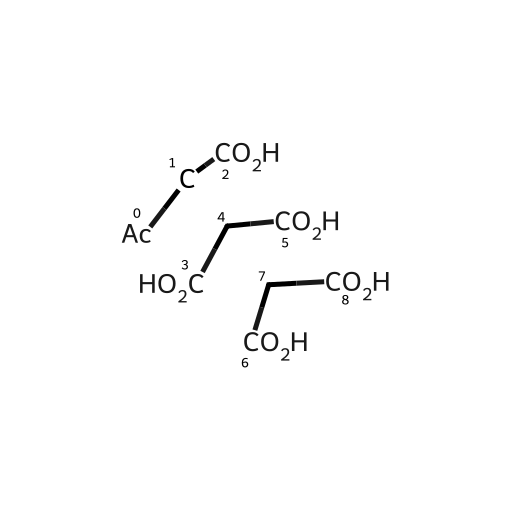 CC(=O)CC(=O)O.O=C(O)CC(=O)O.O=C(O)CC(=O)O